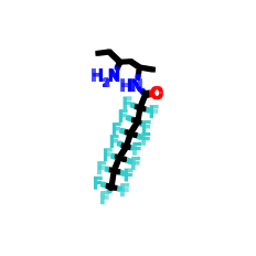 CCC(N)CC(C)NC(=O)C(F)(F)C(F)(F)C(F)(F)C(F)(F)C(F)(F)C(F)(F)C(F)(F)F